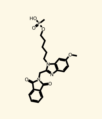 COc1ccc2nc(CN3C(=O)c4ccccc4C3=O)n(CCCCCOP(C)(=O)O)c2c1